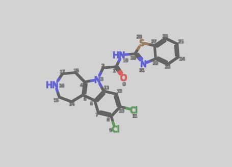 O=C(Cn1c2c(c3cc(Cl)c(Cl)cc31)CCNCC2)Nc1nc2ccccc2s1